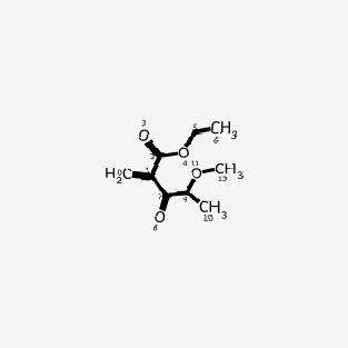 C=C(C(=O)OCC)C(=O)C(C)OC